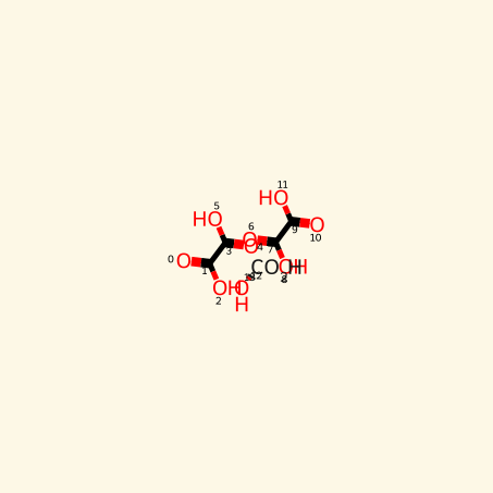 O=C(O)C(=O)O.O=C(O)C(=O)O.O=C(O)O